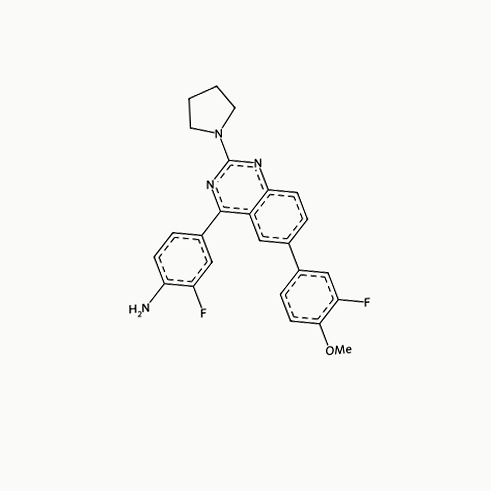 COc1ccc(-c2ccc3nc(N4CCCC4)nc(-c4ccc(N)c(F)c4)c3c2)cc1F